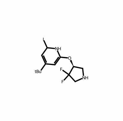 CC(C)(C)C1=CC(I)NC(O[C@H]2CNCC2(F)F)=C1